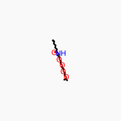 C=CCCCCC(=O)NCCOCCOCCOCCOC(C)C